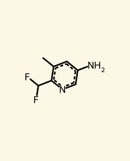 Cc1cc(N)cnc1C(F)F